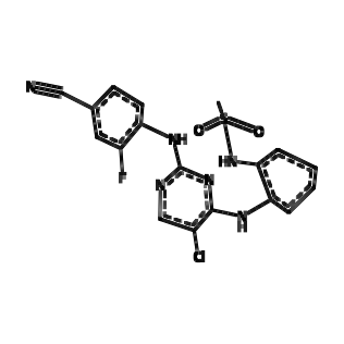 CS(=O)(=O)Nc1ccccc1Nc1nc(Nc2ccc(C#N)cc2F)ncc1Cl